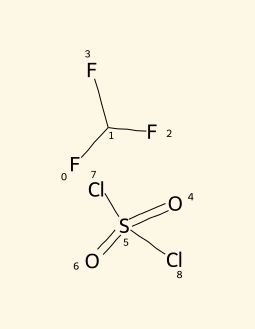 FC(F)F.O=S(=O)(Cl)Cl